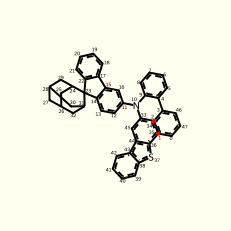 c1ccc(-c2ccccc2N(c2ccc3c(c2)-c2ccccc2C32C3CC4CC(C3)CC2C4)c2ccc3sc4ccccc4c3c2)cc1